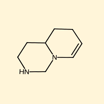 C1=CN2CNCCC2CC1